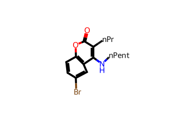 CCCCCNc1c(CCC)c(=O)oc2ccc(Br)cc12